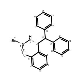 CC(C)(C)[S@@+]([O-])N[C@@H](c1ccccc1Cl)C(c1ccccc1)c1ccccc1